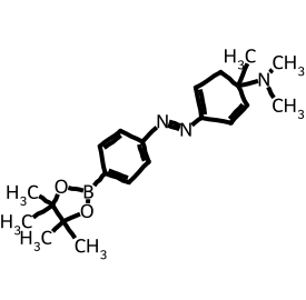 CN(C)C1(C)C=CC(/N=N/c2ccc(B3OC(C)(C)C(C)(C)O3)cc2)=CC1